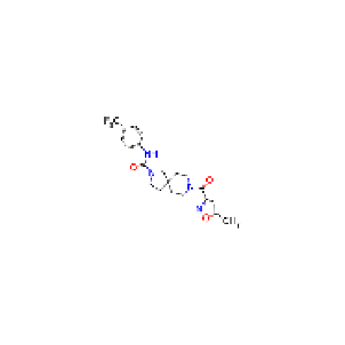 Cc1cc(C(=O)N2CCC3(CCN(C(=O)Nc4ccc(C(F)(F)F)cc4)C3)CC2)no1